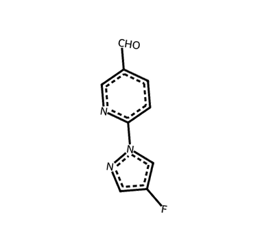 O=Cc1ccc(-n2cc(F)cn2)nc1